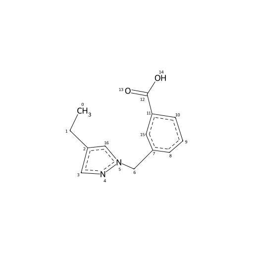 CCc1cnn(Cc2cccc(C(=O)O)c2)c1